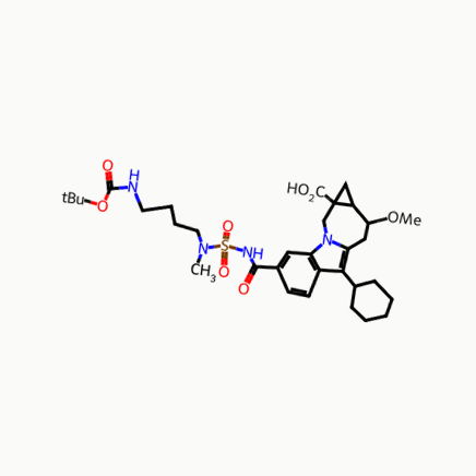 COC1Cc2c(C3CCCCC3)c3ccc(C(=O)NS(=O)(=O)N(C)CCCCNC(=O)OC(C)(C)C)cc3n2CC2(C(=O)O)CC12